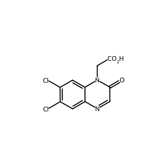 O=C(O)Cn1c(=O)cnc2cc(Cl)c(Cl)cc21